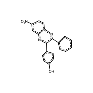 O=[N+]([O-])c1ccc2nc(-c3ccccc3)c(-c3ccc(O)cc3)nc2c1